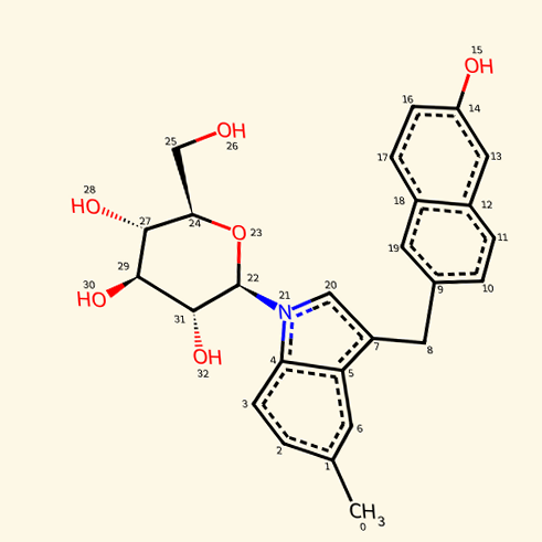 Cc1ccc2c(c1)c(Cc1ccc3cc(O)ccc3c1)cn2[C@@H]1O[C@H](CO)[C@@H](O)[C@H](O)[C@H]1O